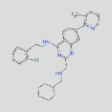 FC(F)(F)c1cccnc1-c1ccc2c(NCCc3ccccc3Cl)nc(CNCC3CCCCC3)nc2c1